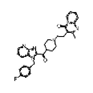 Cc1nc2ccccn2c(=O)c1CCN1CCC(C(=O)c2nc3ncccc3n2Cc2ccc(F)cc2)CC1